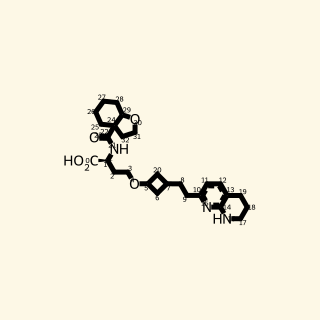 O=C(O)[C@H](CCOC1CC(CCc2ccc3c(n2)NCCC3)C1)NC(=O)C12CCCCC1OCC2